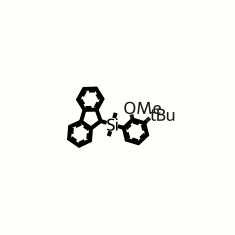 COc1c(C(C)(C)C)cccc1[Si](C)(C)C1c2ccccc2-c2ccccc21